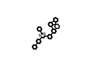 c1ccc(-c2ccc(-c3cc(-c4cccc(-c5cccc(-c6cccc7c6C6(CCCCC6)c6ccccc6-7)c5)c4)nc(-c4ccccc4)n3)cc2)cc1